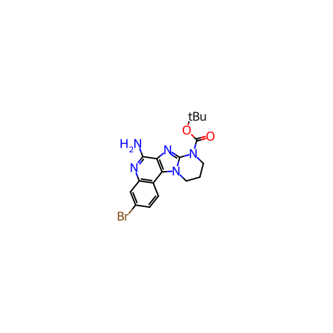 CC(C)(C)OC(=O)N1CCCn2c1nc1c(N)nc3cc(Br)ccc3c12